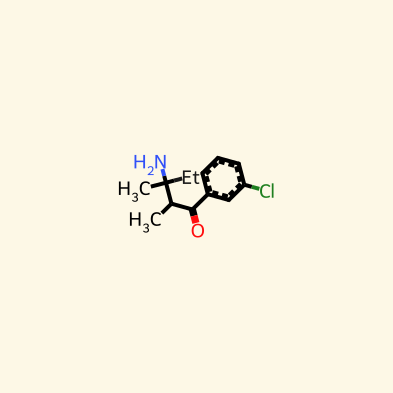 CCC(C)(N)C(C)C(=O)c1cccc(Cl)c1